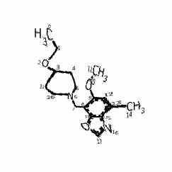 CCOC1CCN(Cc2c(OC)cc(C)c3ncoc23)CC1